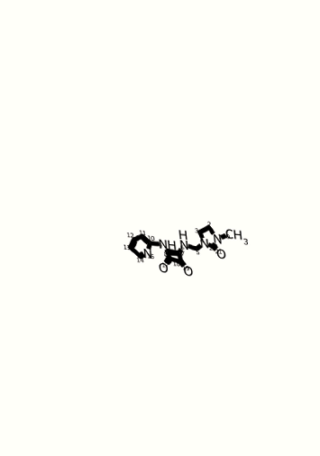 CN1CCN(CNc2c(Nc3ccccn3)c(=O)c2=O)C1=O